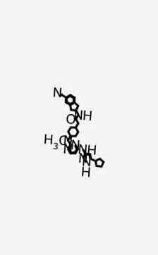 CN(c1nccc(Nc2cc(C3CCCC3)[nH]n2)n1)C1CCC(CC(=O)NC2Cc3ccc(C#N)cc3C2)CC1